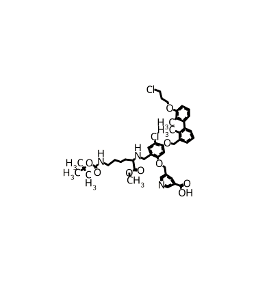 COC(=O)C(CCCCNC(=O)OC(C)(C)C)NCc1cc(Cl)c(OCc2cccc(-c3cccc(OCCCCl)c3C)c2C)cc1OCc1cncc(C(=O)O)c1